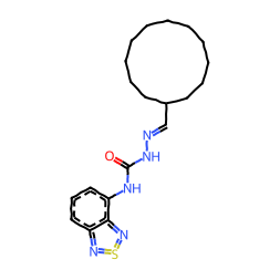 O=C(N/N=C/C1CCCCCCCCCCC1)Nc1cccc2nsnc12